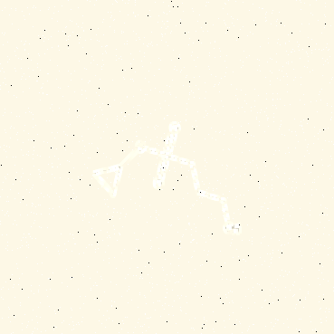 O=S(=O)(CCCO)OC1CC1